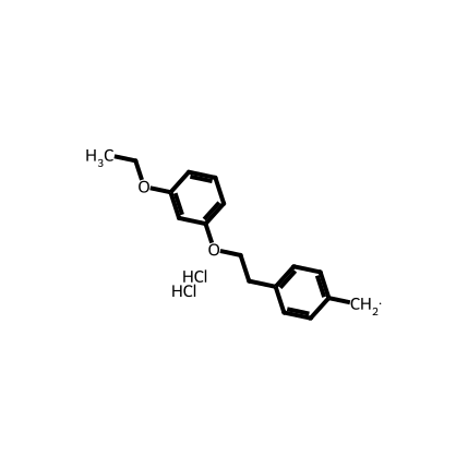 Cl.Cl.[CH2]c1ccc(CCOc2cccc(OCC)c2)cc1